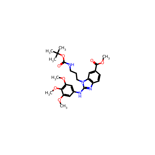 COC(=O)c1ccc2nc(Nc3cc(OC)c(OC)c(OC)c3)n(CCCNC(=O)OC(C)(C)C)c2c1